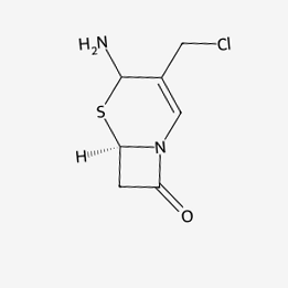 NC1S[C@@H]2CC(=O)N2C=C1CCl